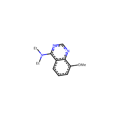 CCN(CC)c1ncnc2c(OC)cccc12